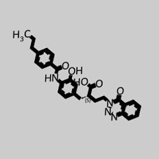 CCCc1ccc(C(=O)Nc2ccc(C[C@@H](CCn3nnc4ccccc4c3=O)C(=O)O)cc2O)cc1